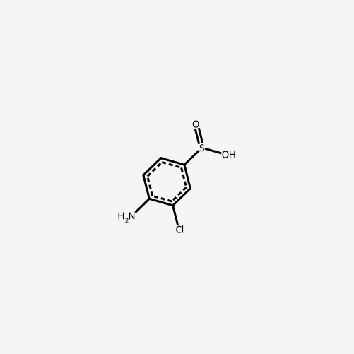 Nc1ccc(S(=O)O)cc1Cl